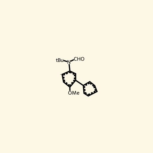 COc1c[c]c(N(C=O)C(C)(C)C)cc1-c1ccccc1